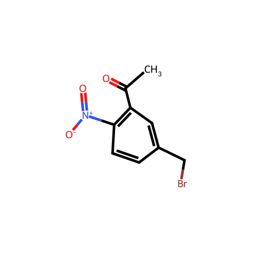 CC(=O)c1cc(CBr)ccc1[N+](=O)[O-]